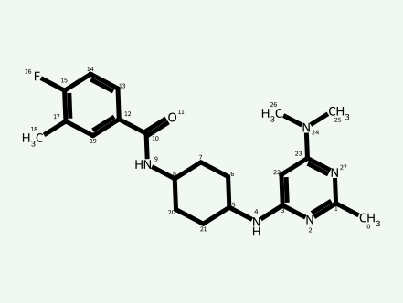 Cc1nc(NC2CCC(NC(=O)c3ccc(F)c(C)c3)CC2)cc(N(C)C)n1